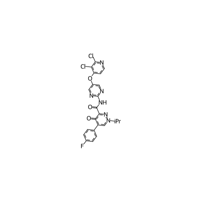 CC(C)n1cc(-c2ccc(F)cc2)c(=O)c(C(=O)Nc2ncc(Oc3ccnc(Cl)c3Cl)cn2)n1